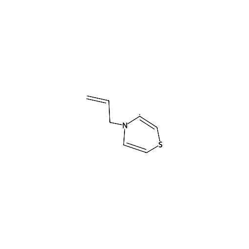 C=CCN1[C]=CSC=C1